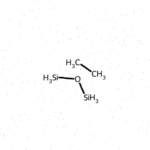 CC.[SiH3]O[SiH3]